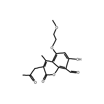 COCCOc1cc(O)c(C=O)c2oc(=O)c(CC(C)=O)c(C)c12